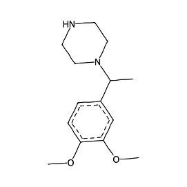 COc1ccc(C(C)N2CCNCC2)cc1OC